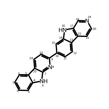 c1ccc2c(c1)[nH]c1nc(-c3ccc4c(c3)[nH]c3cnccc34)ccc12